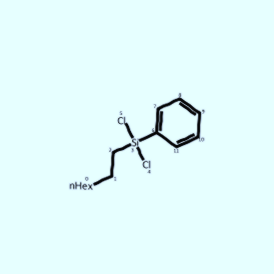 CCCCCCCC[Si](Cl)(Cl)c1ccccc1